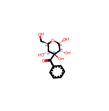 O=C(c1ccccc1)[C@]1(O)[C@H](O)[C@@H](CO)O[C@H](O)[C@@H]1O